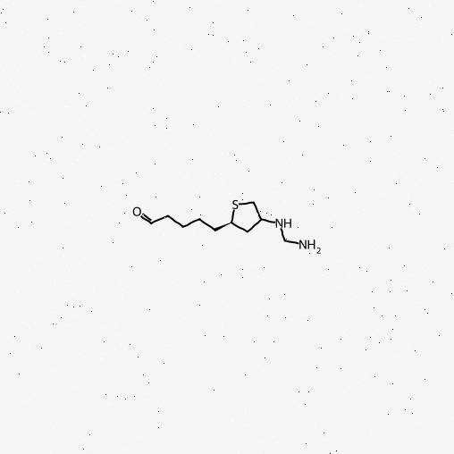 NCNC1CS[C@H](CCCCC=O)C1